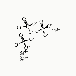 O=P([O-])([O-])[O-].O=P([O-])([O-])[O-].O=P([O-])([O-])[O-].[Ba+2].[In+3].[Si+4]